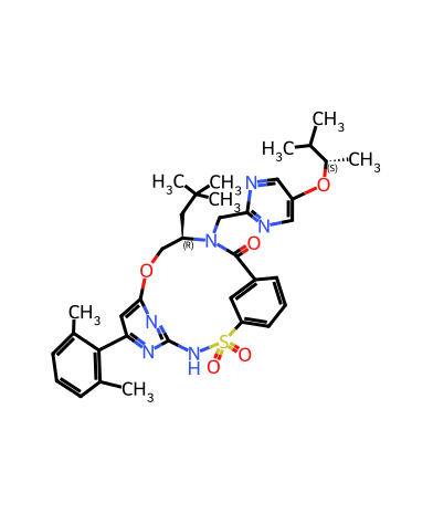 Cc1cccc(C)c1-c1cc2nc(n1)NS(=O)(=O)c1cccc(c1)C(=O)N(Cc1ncc(O[C@@H](C)C(C)C)cn1)[C@H](CC(C)(C)C)CO2